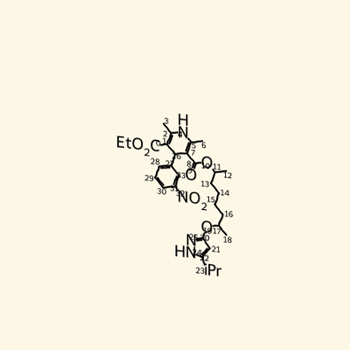 CCOC(=O)C1=C(C)NC(C)=C(C(=O)OC(C)CCCCC(C)Oc2cc(C(C)C)[nH]n2)C1c1cccc([N+](=O)[O-])c1